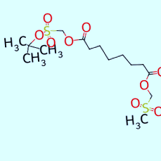 CC(C)(C)OS(=O)(=O)COC(=O)CCCCCCC(=O)OCS(C)(=O)=O